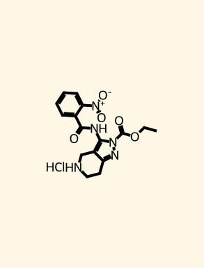 CCOC(=O)n1nc2c(c1NC(=O)c1ccccc1[N+](=O)[O-])CNCC2.Cl